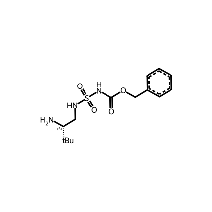 CC(C)(C)[C@H](N)CNS(=O)(=O)NC(=O)OCc1ccccc1